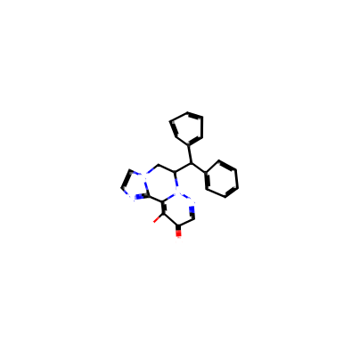 O=c1cnn2c(c1O)-c1nccn1CC2C(c1ccccc1)c1ccccc1